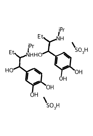 CCC(NC(C)C)C(O)c1ccc(O)c(O)c1.CCC(NC(C)C)C(O)c1ccc(O)c(O)c1.CS(=O)(=O)O.CS(=O)(=O)O